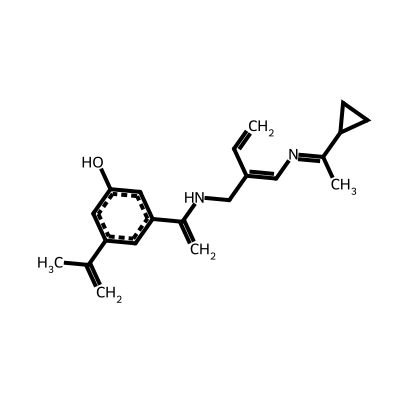 C=C/C(=C\N=C(/C)C1CC1)CNC(=C)c1cc(O)cc(C(=C)C)c1